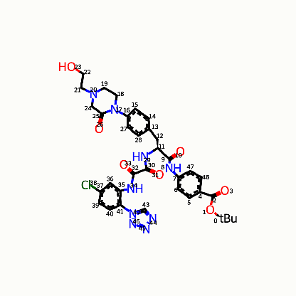 CC(C)(C)OC(=O)c1ccc(NC(=O)[C@H](Cc2ccc(N3CCN(CCO)CC3=O)cc2)NC(=O)C(=O)Nc2cc(Cl)ccc2-n2cnnn2)cc1